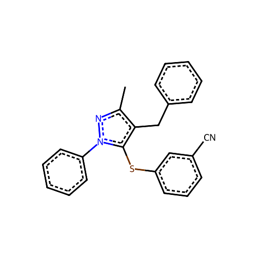 Cc1nn(-c2ccccc2)c(Sc2cccc(C#N)c2)c1Cc1ccccc1